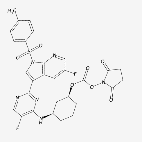 Cc1ccc(S(=O)(=O)n2cc(-c3ncc(F)c(N[C@@H]4CCC[C@H](OC(=O)ON5C(=O)CCC5=O)C4)n3)c3cc(F)cnc32)cc1